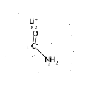 N[C-]=O.[Li+]